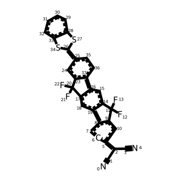 N#CC(C#N)=c1ccc2c(c1)C(F)(F)c1cc3c(cc1=2)C(F)(F)c1cc(=C2Sc4ccccc4S2)ccc1=3